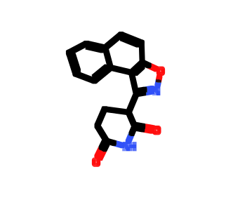 O=C1CCC(c2noc3ccc4ccccc4c23)C(=O)N1